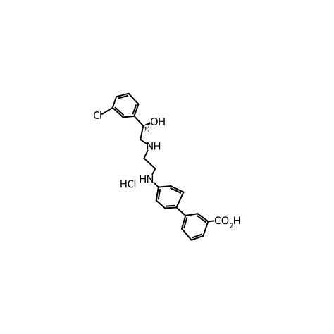 Cl.O=C(O)c1cccc(-c2ccc(NCCNC[C@H](O)c3cccc(Cl)c3)cc2)c1